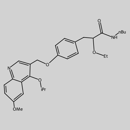 CCCCNC(=O)C(Cc1ccc(OCc2cnc3ccc(OC)cc3c2OC(C)C)cc1)OCC